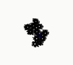 C1=CC2=C(CC1)c1ccc(N(c3ccc4c(c3)c3ccccc3c3c(-c5ccccc5)cc(-c5ccccc5)c(-c5ccccc5)c43)c3cc4ccccc4c4ccccc34)cc1C21CCCC1